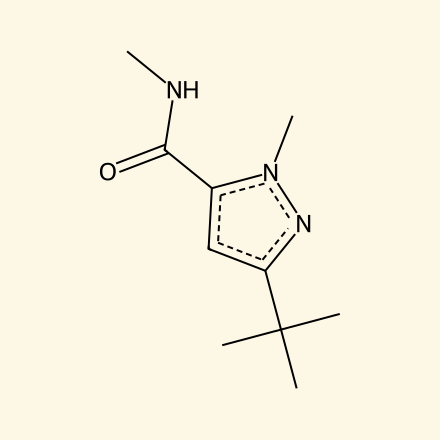 CNC(=O)c1cc(C(C)(C)C)nn1C